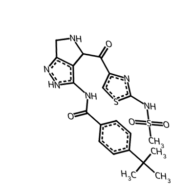 CC(C)(C)c1ccc(C(=O)Nc2[nH]nc3c2C(C(=O)c2csc(NS(C)(=O)=O)n2)NC3)cc1